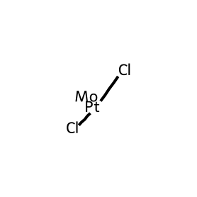 [Cl][Pt][Cl].[Mo]